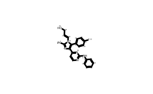 CC(C)c1nc(-c2ccnc(Nc3ccccc3)n2)c(-c2ccc(F)cc2)n1C=CCO